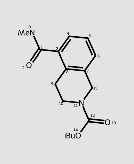 CNC(=O)c1cccc2c1CCN(C(=O)OCC(C)C)C2